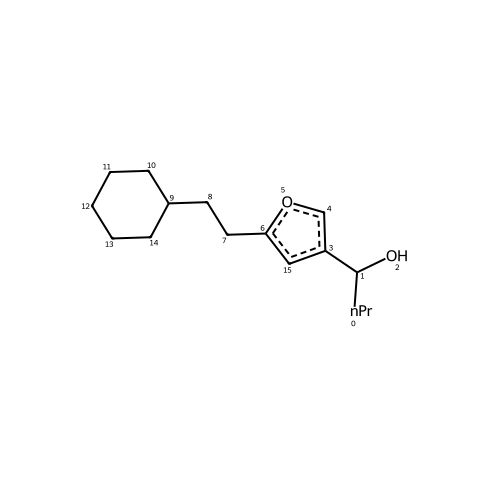 CCCC(O)c1coc(CCC2CCCCC2)c1